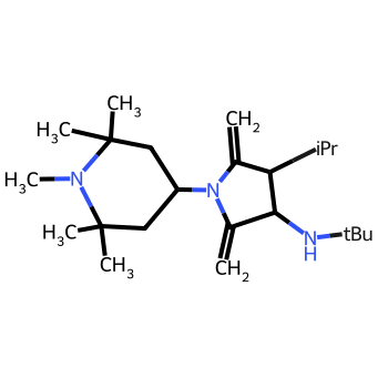 C=C1C(NC(C)(C)C)C(C(C)C)C(=C)N1C1CC(C)(C)N(C)C(C)(C)C1